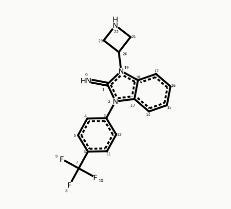 N=c1n(-c2ccc(C(F)(F)F)cc2)c2ccccc2n1C1CNC1